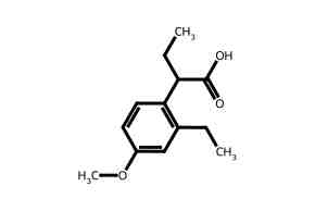 CCc1cc(OC)ccc1C(CC)C(=O)O